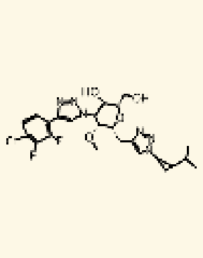 CO[C@@H]1[C@@H](n2cc(-c3ccc(Cl)c(F)c3F)nn2)[C@@H](O)[C@@H](CO)O[C@@H]1Cc1cn(C2CC2C(C)C)nn1